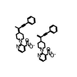 C=C(C#Cc1ccccc1)C1CCN(c2ncccc2[N+](=O)[O-])CC1.CC(C#Cc1ccccc1)=C1CCN(c2ncccc2[N+](=O)[O-])CC1